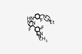 CCN1CCN(Cc2ccc(Nc3ncc(F)c(-c4cc(F)c5nn(C)cc5c4)n3)cc2F)CC1